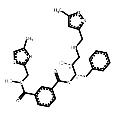 Cc1csc(CN(C)C(=O)c2cccc(C(=O)N[C@@H](Cc3ccccc3)[C@H](O)CNCc3cc(C)on3)c2)n1